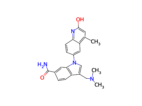 Cc1cc(O)nc2ccc(-n3cc(CN(C)C)c4ccc(C(N)=O)cc43)cc12